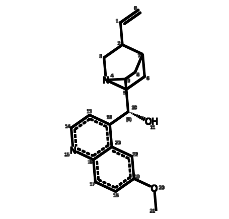 C=CC1CN2CCC1CC2[C@H](O)c1ccnc2ccc(OC)cc12